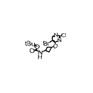 CC(C)(C)OC(=O)NC1CC(Oc2nc(Cl)ncc2Br)C1